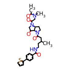 CC(=O)N(C)CC(=O)N1CC(=O)C2C1CCN2C(=O)CC(C)CCNC(=O)c1ccc(-c2cccs2)cc1